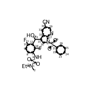 CCN(C)S(=O)(=O)Nc1ccc(F)c(C(O)c2cn(S(=O)(=O)c3ccccc3)c3ncc(C#N)cc23)c1F